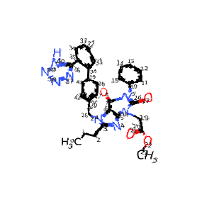 CCCc1nc2c(c(=O)n(-c3ccccc3)c(=O)n2CC(=O)OC)n1Cc1ccc(-c2ccccc2-c2nnn[nH]2)cc1